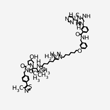 Cc1ncsc1-c1ccc(CNC(=O)[C@@H]2C[C@@H](O)CN2C(=O)[C@@H](NC(=O)CCCC/C(N)=C/N(N)CCCCCCOc2cccc(CNC(=O)c3cccc(NCC(=N)N(C)C(=N)c4ccncn4)c3)c2)C(C)(C)C)cc1